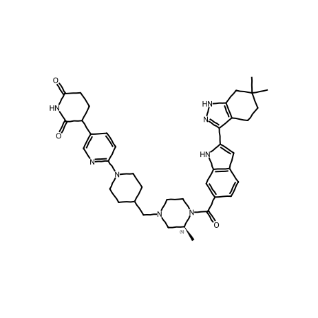 C[C@H]1CN(CC2CCN(c3ccc(C4CCC(=O)NC4=O)cn3)CC2)CCN1C(=O)c1ccc2cc(-c3n[nH]c4c3CCC(C)(C)C4)[nH]c2c1